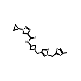 Cc1coc(Cn2cc(CN3CC(NC(=O)c4cn(C5CC5)nn4)C3)cn2)n1